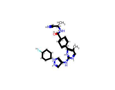 Cc1cnc(Nc2cnn([C@H]3CC[C@H](F)CC3)c2)nc1-c1ccc(C(=O)N[C@@H](C)C#N)cc1